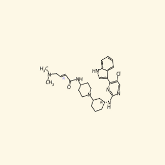 CN(C)C/C=C/C(=O)NC1CCN(C2CCC[C@@H](Nc3ncc(Cl)c(-c4c[nH]c5ccccc45)n3)C2)CC1